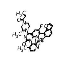 C=CC(=O)N1CCN(c2nc(=O)n(-c3c(C)ccnc3C(C)C)c3nc(-c4c(C)ccc5ccoc45)c(F)cc23)[C@@H](C)C1